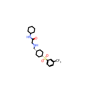 O=C(CNC[C@H]1CC[C@@H](S(=O)(=O)c2cccc(C(F)(F)F)c2)CC1)NC1CCCCC1